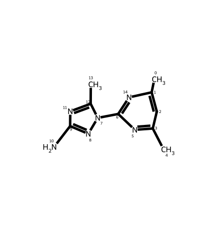 Cc1cc(C)nc(-n2nc(N)nc2C)n1